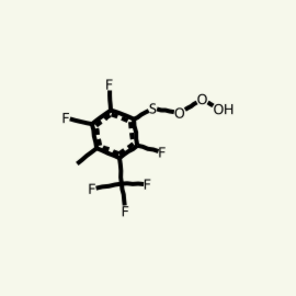 Cc1c(F)c(F)c(SOOO)c(F)c1C(F)(F)F